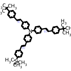 CC(C)(C)c1ccc(/C=C/c2ccc(N(c3ccc(/C=C/c4ccc(C(C)(C)C)cc4)cc3)c3ccc(/C=C/c4ccc([Si](C)(C)C)cc4)cc3)cc2)cc1